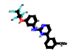 COc1cccc(-c2ccnc(Nc3cccc(OC(F)(F)C(F)F)c3)n2)c1